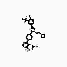 NC(=O)Oc1c(N)ncnc1N1CCC(c2nc(-c3ccc(F)c(C(F)(F)F)c3)cn2CCN2CCC2)CC1